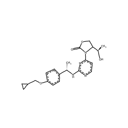 C[C@H](Nc1nccc(N2C(=O)OCC2[C@@H](C)O)n1)c1ccc(OCC2CC2)cc1